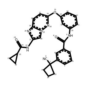 N#CC1(c2cccc(C(=O)Nc3cccc(Oc4ccc5nc(NC(=O)C6CC6)cn5n4)c3)c2)CCC1